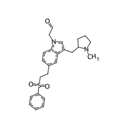 CN1CCCC1Cc1cn(CC=O)c2ccc(CCS(=O)(=O)c3ccccc3)cc12